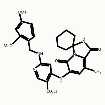 CCOC(=O)c1cnc(NCc2ccc(OC)cc2OC)cc1Nc1cc(C)c2n(c1=O)C1(CCCCC1)NC2=O